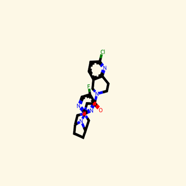 O=C(CN1CC2CCC(C1)N2c1ncc(F)cn1)N1CCc2nc(Cl)ccc2C1